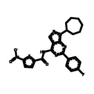 O=C(Nc1nc(-c2ccc(F)cc2)nc2c1cnn2C1CCCCCC1)c1ccc([N+](=O)[O-])s1